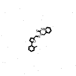 Cc1ccccc1-c1ccc(C=NN(Cc2ccccn2)C(N)=S)o1